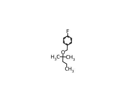 CCCC(C)(C)OCc1ccc(F)cc1